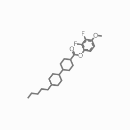 CCCCCC1CCC(C2CCC(C(=O)Oc3ccc(OC)c(F)c3F)CC2)CC1